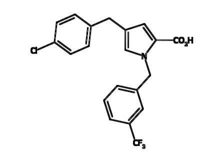 O=C(O)c1cc(Cc2ccc(Cl)cc2)cn1Cc1cccc(C(F)(F)F)c1